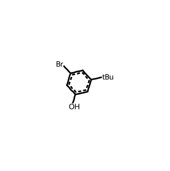 CC(C)(C)c1cc(O)cc(Br)c1